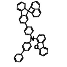 c1ccc(-c2ccc(N(c3ccc(-c4ccc5c(c4)C4(c6ccccc6-5)c5cccc6cccc4c56)cc3)c3cccc4c3oc3ccccc34)cc2)cc1